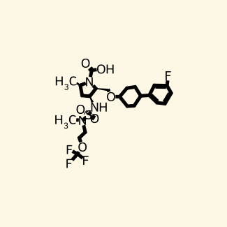 C[C@@H]1C[C@H](NS(=O)(=O)N(C)CCOC(F)(F)F)[C@H](COC2CCC(c3cccc(F)c3)CC2)N1C(=O)O